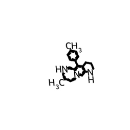 Cc1ccc(-c2c3c(cn4ccc(C)c[nH]cc24)NCCC3)cc1